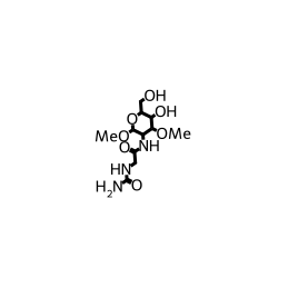 COC1OC(CO)C(O)C(OC)C1NC(=O)CNC(N)=O